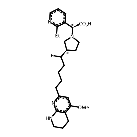 CCc1ncccc1[C@@H](C(=O)O)N1CC[C@@H](C(F)CCCCc2cc(OC)c3c(n2)NCCC3)C1